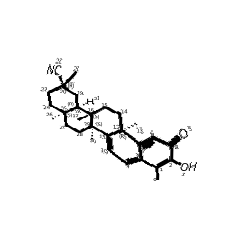 CC1=C(O)C(=O)C=C2C1=CC=C1[C@@]2(C)CC[C@@]2(C)[C@@H]3C[C@](C)(C#N)CC[C@]3(C)CC[C@]12C